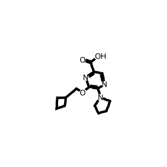 O=C(O)c1cnc(N2CCCC2)c(OCC2CCC2)n1